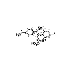 CC(=O)N(c1ccc(CN)cc1)[C@@H]1C[C@@H](C(=O)O)Nc2cc(Cl)cc(Cl)c21